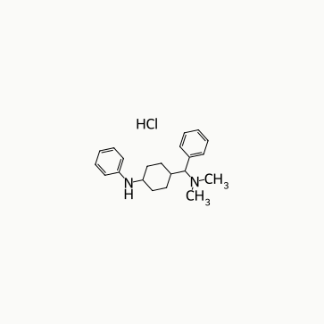 CN(C)C(c1ccccc1)C1CCC(Nc2ccccc2)CC1.Cl